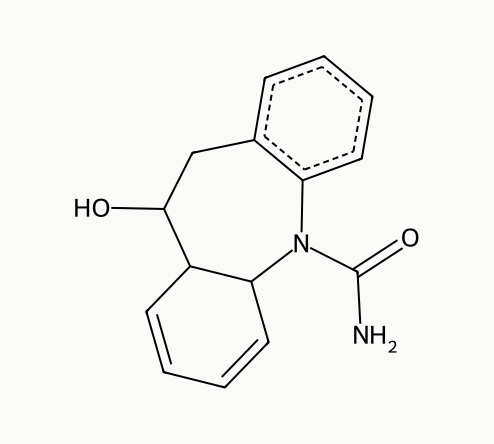 NC(=O)N1c2ccccc2CC(O)C2C=CC=CC21